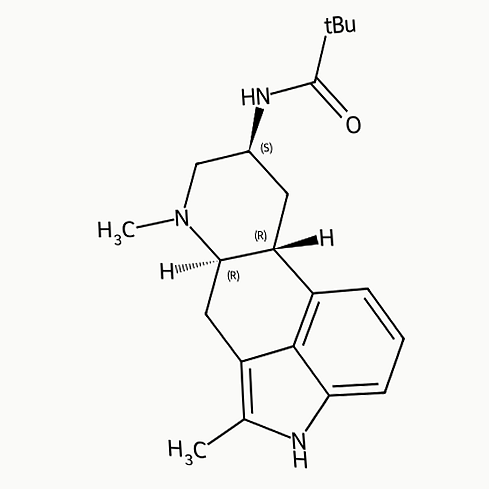 Cc1[nH]c2cccc3c2c1C[C@@H]1[C@@H]3C[C@H](NC(=O)C(C)(C)C)CN1C